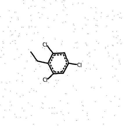 C[CH]c1c(Cl)cc(Cl)cc1Cl